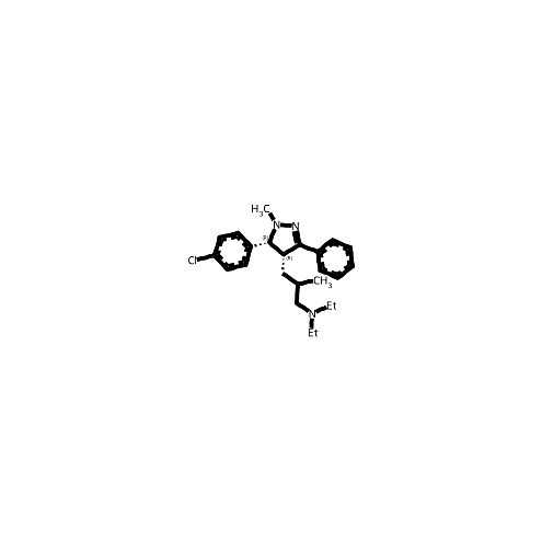 CCN(CC)CC(C)C[C@H]1C(c2ccccc2)=NN(C)[C@H]1c1ccc(Cl)cc1